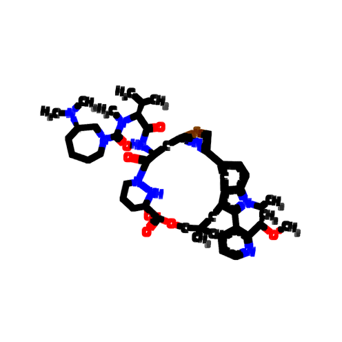 CCn1c(-c2cccnc2[C@H](C)OC)c2c3cc(ccc31)-c1csc(n1)C[C@H](NC(=O)[C@H](C(C)C)N(C)C(=O)N1CCCC[C@@H](N(C)C)C1)C(=O)N1CCC[C@@](O)(N1)C(=O)OCC(C)(C)C2